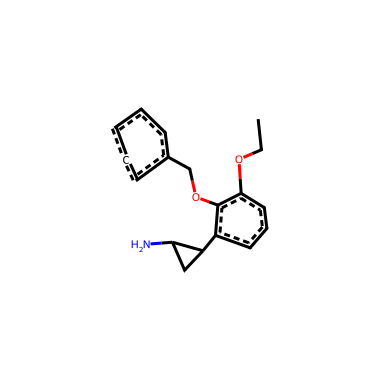 CCOc1cccc(C2CC2N)c1OCc1ccccc1